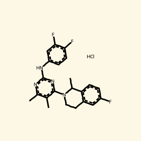 Cc1nc(Nc2ccc(F)c(F)c2)nc(N2CCc3cc(F)ccc3C2C)c1C.Cl